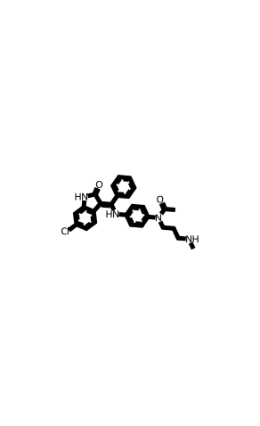 CNCCCN(C(C)=O)c1ccc(NC(=C2C(=O)Nc3cc(Cl)ccc32)c2ccccc2)cc1